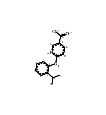 CC(C)c1ccccc1Oc1ccc(C(=O)Cl)cn1